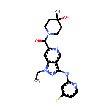 CC1(O)CCN(C(=O)c2cc3c(cn2)c(Nc2cc(F)ccn2)nn3CC(F)(F)F)CC1